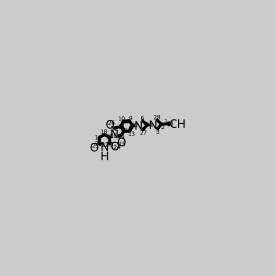 C#CC1CN(C2CN(c3ccc4c(c3)C(=O)N(C3CCC(=O)NC3=O)C4=O)C2)C1